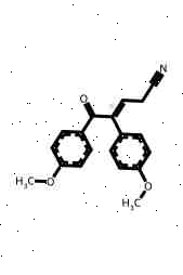 COc1ccc(C(=O)/C(=C/CC#N)c2ccc(OC)cc2)cc1